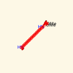 COCCOCCCC1(CCCOCCOC)c2cc(-c3ccccc3)ccc2-c2ccc(-c3ccc(OCCCCNC(=O)CCOCCOCCOCCOCCOCCOCCOCCOCCOCCOCCOCCOCCOCCOCCOCCOCCOCCOCCOCCOCCOCCOCCOCCOCCNC(=O)OCC4c5ccccc5-c5ccccc54)cc3)cc21